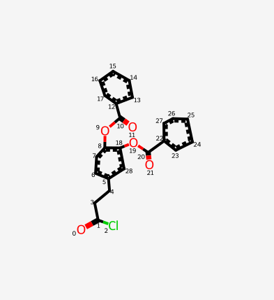 O=C(Cl)CCc1ccc(OC(=O)c2ccccc2)c(OC(=O)c2ccccc2)c1